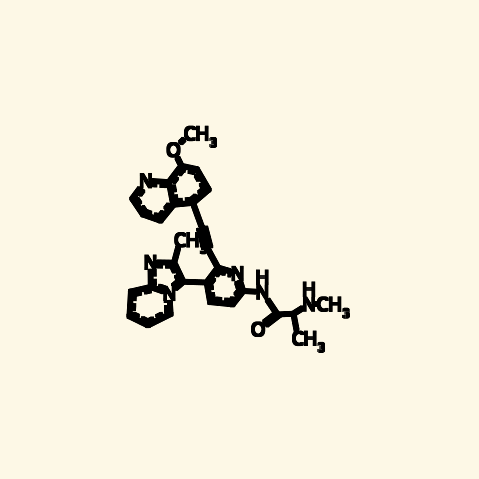 CNC(C)C(=O)Nc1ccc(-c2c(C)nc3ccccn23)c(C#Cc2ccc(OC)c3ncccc23)n1